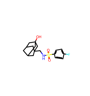 O=S(=O)(NCC12CC3CC(CC(O)(C3)C1)C2)c1ccc(F)cc1